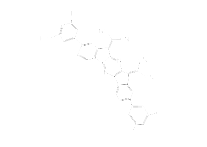 N#CC(C#N)=C1c2cc(-c3cc(F)cc(C(F)(F)F)c3)ccc2-c2nc3c(nc21)C(=C(C#N)C#N)c1cc(-c2cc(F)cc(C(F)(F)F)c2)ccc1-3